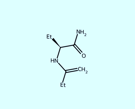 C=C(CC)N[C@@H](CC)C(N)=O